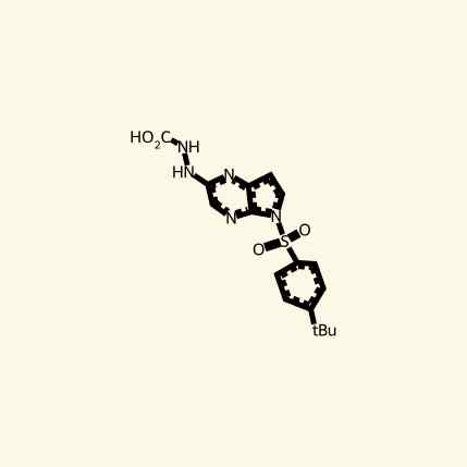 CC(C)(C)c1ccc(S(=O)(=O)n2ccc3nc(NNC(=O)O)cnc32)cc1